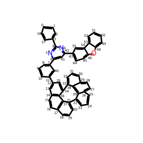 c1ccc(-c2nc(-c3cccc(-c4cc5ccc6cccc7c8cccc9ccc%10cccc(c(c4)c5c67)c%10c98)c3)cc(-c3ccc4oc5ccccc5c4c3)n2)cc1